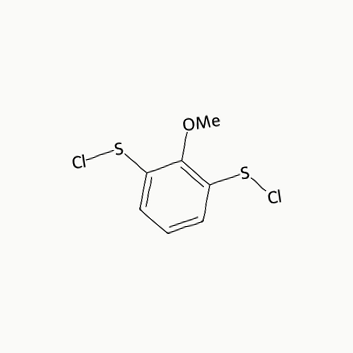 COc1c(SCl)cccc1SCl